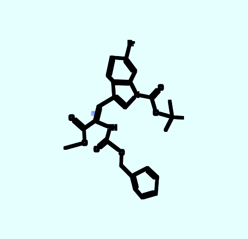 COC(=O)/C(=C/c1cn(C(=O)OC(C)(C)C)c2cc(Br)ccc12)NC(=O)OCc1ccccc1